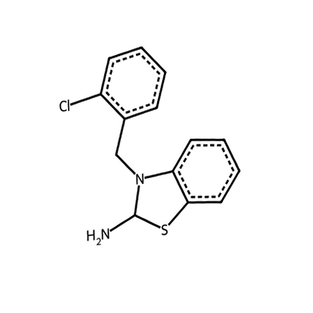 NC1Sc2ccccc2N1Cc1ccccc1Cl